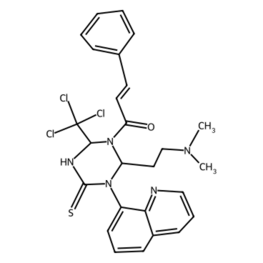 CN(C)CCC1N(c2cccc3cccnc23)C(=S)NC(C(Cl)(Cl)Cl)N1C(=O)/C=C/c1ccccc1